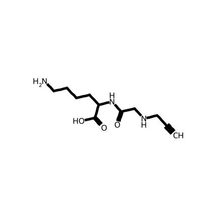 C#CCNCC(=O)NC(CCCCN)C(=O)O